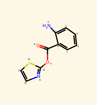 Nc1ccccc1C(=O)Oc1nccs1